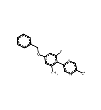 Cc1cc(OCc2ccccc2)cc(F)c1-c1cnc(Cl)cn1